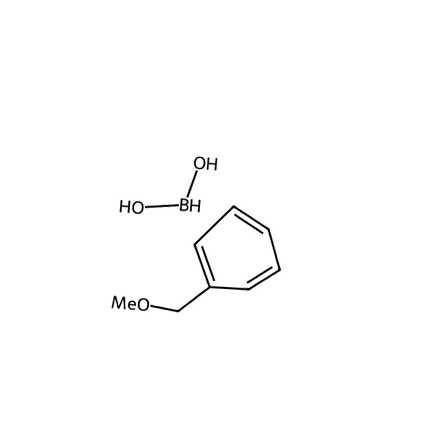 COCc1ccccc1.OBO